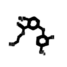 O=[N+]([O-])c1ccc(Oc2ccc(C(F)(F)F)cc2Cl)cc1C(=S)OCCO